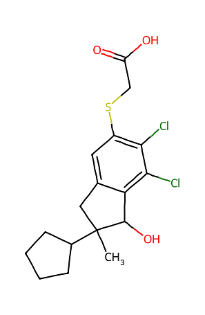 CC1(C2CCCC2)Cc2cc(SCC(=O)O)c(Cl)c(Cl)c2C1O